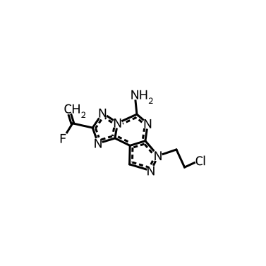 C=C(F)c1nc2c3cnn(CCCl)c3nc(N)n2n1